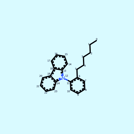 CCCCCCc1ccccc1-n1c2ccccc2c2ccccc21